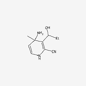 CCC(O)C1=C(C#N)NC=CC1(C)N